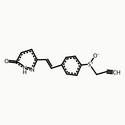 C#CC[S+]([O-])c1ccc(C=Cc2ccc(=O)[nH]n2)cc1